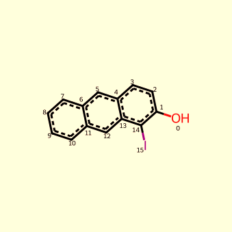 Oc1ccc2cc3ccccc3cc2c1I